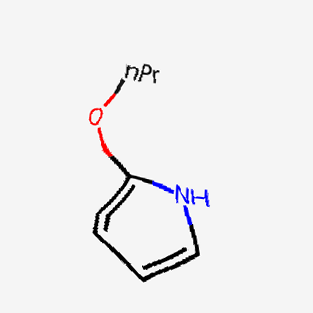 CCCOc1ccc[nH]1